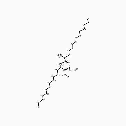 CCCCCCCCCCCCC(N)C(=O)NC(CCCCCCCCCCCC)C(=O)OC.Cl